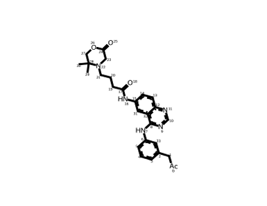 CC(=O)Cc1cccc(Nc2ncnc3ccc(NC(=O)CCCN4CC(=O)OCC4(C)C)cc23)c1